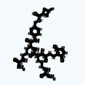 CC1SC(C(=O)OCc2ccc(NC(=O)[C@H](CCCNC(N)=O)NC(=O)[C@H](CCCNC(N)=O)NC(=O)CCN3C(=O)C=CC3=O)cc2)S1